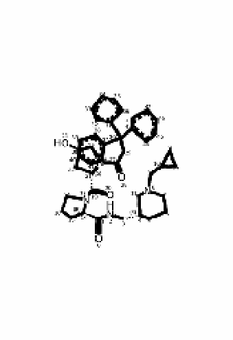 O=C(NC[C@H]1CCCN(CC2CC2)C1)[C@H]1CCCN1C(=O)[C@@H]1C[C@@H](O)CN1C(=O)CC(c1ccccc1)(c1ccccc1)c1ccccc1